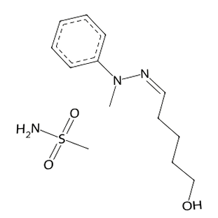 CN(/N=C\CCCCO)c1ccccc1.CS(N)(=O)=O